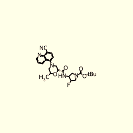 CC1CN(c2ccc(C#N)c3ncccc23)C[C@H](C(=O)NC2CN(C(=O)OC(C)(C)C)CC2F)O1